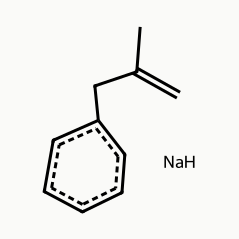 C=C(C)Cc1ccccc1.[NaH]